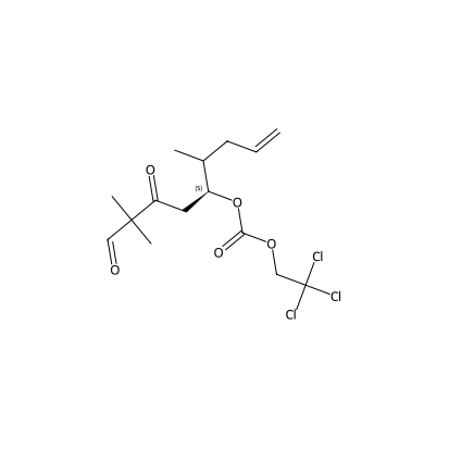 C=CCC(C)[C@H](CC(=O)C(C)(C)C=O)OC(=O)OCC(Cl)(Cl)Cl